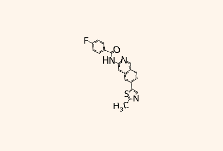 Cc1ncc(-c2ccc3cnc(NC(=O)c4ccc(F)cc4)cc3c2)s1